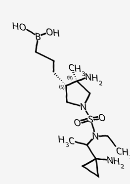 CCN(C(C)C1(N)CC1)S(=O)(=O)N1C[C@H](CCCB(O)O)[C@@](C)(N)C1